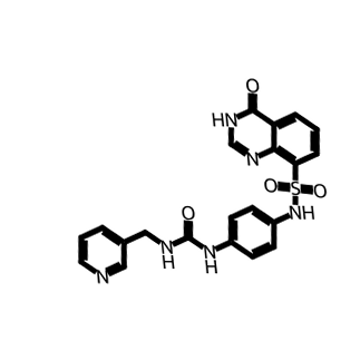 O=C(NCc1cccnc1)Nc1ccc(NS(=O)(=O)c2cccc3c(=O)[nH]cnc23)cc1